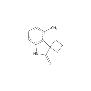 Cc1cccc2c1C1(CCC1)C(=O)N2